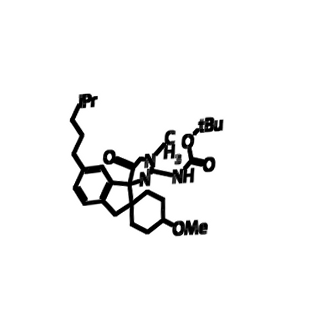 COC1CCC2(CC1)Cc1ccc(CCCC(C)C)cc1C21N=C(NC(=O)OC(C)(C)C)N(C)CC1=O